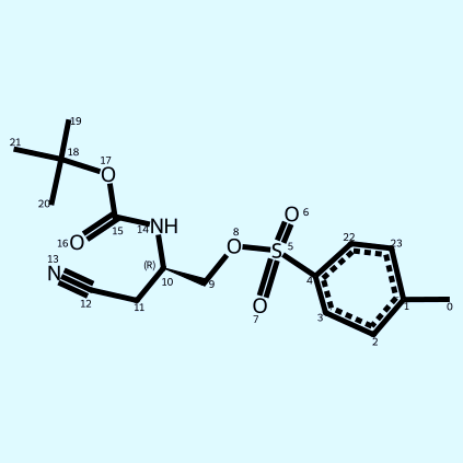 Cc1ccc(S(=O)(=O)OC[C@@H](CC#N)NC(=O)OC(C)(C)C)cc1